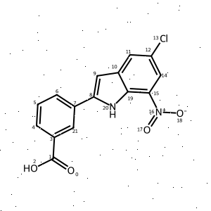 O=C(O)c1cccc(-c2cc3cc(Cl)cc([N+](=O)[O-])c3[nH]2)c1